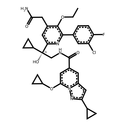 CCOc1c(CC(N)=O)cc([C@@](O)(CNC(=O)c2cc(OC3CC3)n3nc(C4CC4)cc3c2)C2CC2)nc1-c1ccc(F)c(Cl)c1